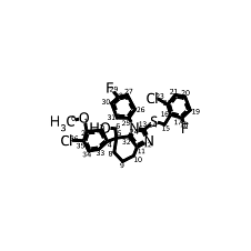 COc1cc(C2(CO)CCCc3nc(SCc4c(F)cccc4Cl)n(-c4ccc(F)cc4)c32)ccc1Cl